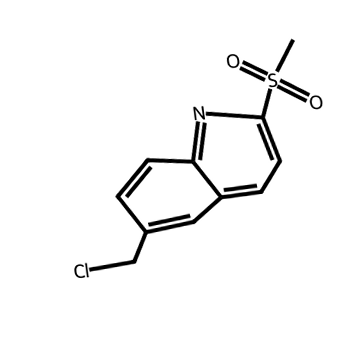 CS(=O)(=O)c1ccc2cc(CCl)ccc2n1